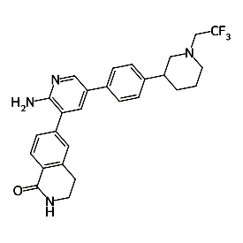 Nc1ncc(-c2ccc(C3CCCN(CC(F)(F)F)C3)cc2)cc1-c1ccc2c(c1)CCNC2=O